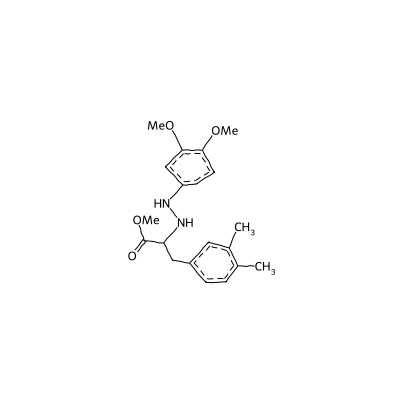 COC(=O)C(Cc1ccc(C)c(C)c1)NNc1ccc(OC)c(OC)c1